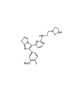 COc1cc(-c2nc3sccn3c2-c2ccnc(NCCN3CCNS3)n2)ccc1F